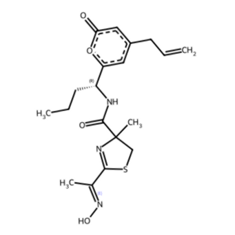 C=CCc1cc([C@@H](CCC)NC(=O)C2(C)CSC(/C(C)=N/O)=N2)oc(=O)c1